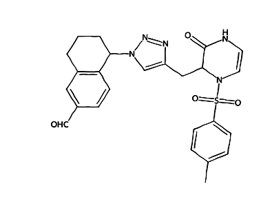 Cc1ccc(S(=O)(=O)N2C=CNC(=O)C2Cc2cn(C3CCCc4cc(C=O)ccc43)nn2)cc1